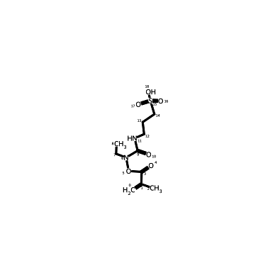 C=C(C)C(=O)ON(CC)C(=O)NCCCS(=O)(=O)O